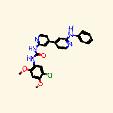 COc1cc(OC)c(NC(=O)Nc2cc(-c3ccnc(Nc4ccccc4)c3)ccn2)cc1Cl